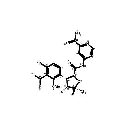 COc1c([C@@H]2[C@@H](C(=O)Nc3ccnc(C(N)=O)c3)O[C@](C)(C(F)(F)F)[C@@H]2C)ccc(F)c1C(F)F